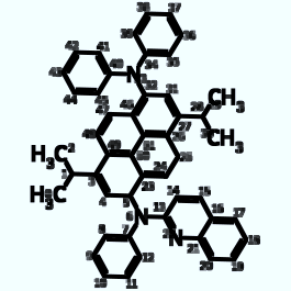 CC(C)C1=CC(N(c2ccccc2)c2ccc3ccccc3n2)C2=CCc3c(C(C)C)cc(N(c4ccccc4)c4ccccc4)c4ccc1c2c34